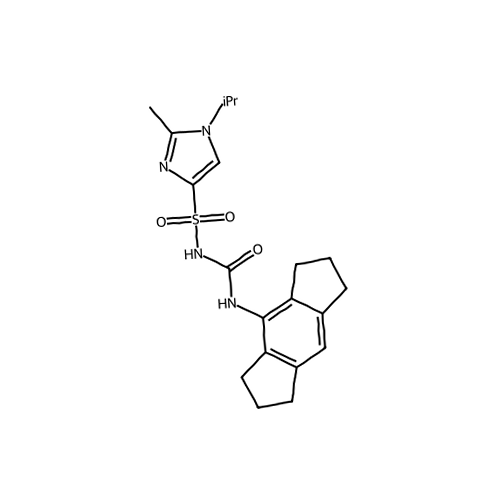 Cc1nc(S(=O)(=O)NC(=O)Nc2c3c(cc4c2CCC4)CCC3)cn1C(C)C